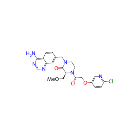 COC[C@H]1C(=O)N(Cc2ccc3c(N)ncnc3c2)CCN1C(=O)COc1ccc(Cl)nc1